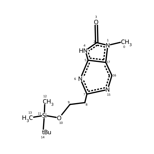 Cn1c(=O)[nH]c2nc(CCO[Si](C)(C)C(C)(C)C)ncc21